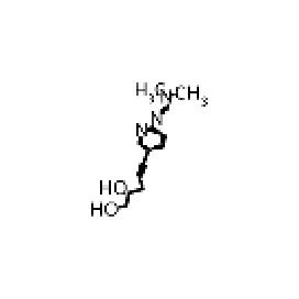 CN(C)/C=N/c1ccc(C#CC[C@H](O)CO)cn1